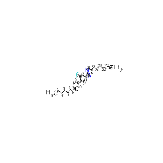 CCCCCCC[C@H]1CC[C@H](c2ccc(-c3ncc(CCCCCC)cn3)cc2F)CC1